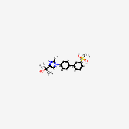 CCc1nc(C(C)(C)O)cn1-c1ccc(-c2cccc(S(C)(=O)=O)c2)cc1